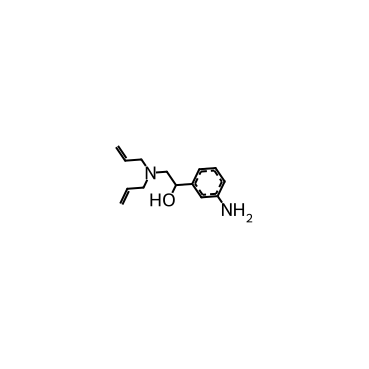 C=CCN(CC=C)CC(O)c1cccc(N)c1